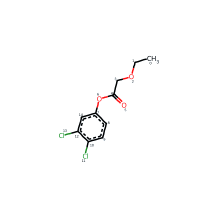 CCOCC(=O)Oc1ccc(Cl)c(Cl)c1